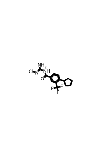 NC(=NCl)NC(=O)c1ccc(C2CCCC2)c(C(F)(F)F)c1